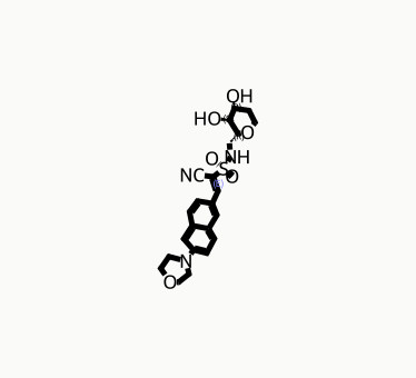 N#C/C(=C\c1ccc2cc(N3CCOCC3)ccc2c1)S(=O)(=O)NC[C@H]1OCC[C@@H](O)[C@@H]1O